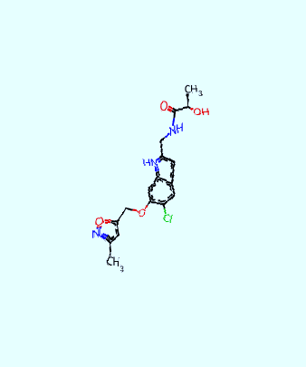 Cc1cc(COc2cc3[nH]c(CNC(=O)[C@@H](C)O)cc3cc2Cl)on1